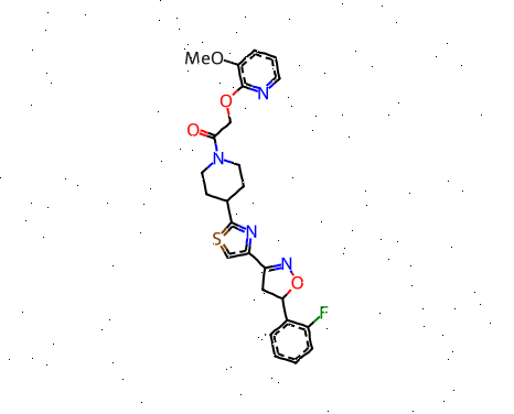 COc1cccnc1OCC(=O)N1CCC(c2nc(C3=NOC(c4[c]cccc4F)C3)cs2)CC1